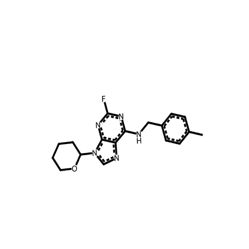 Cc1ccc(CNc2nc(F)nc3c2ncn3C2CCCCO2)cc1